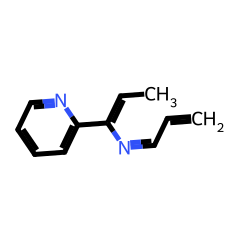 C=C/C=N\C(=C/C)c1ccccn1